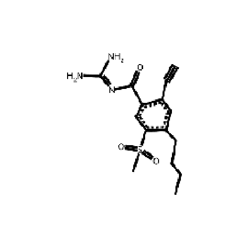 C#Cc1cc(CCCC)c(S(C)(=O)=O)cc1C(=O)N=C(N)N